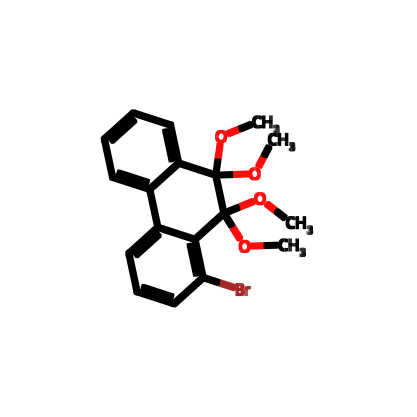 COC1(OC)c2ccccc2-c2cccc(Br)c2C1(OC)OC